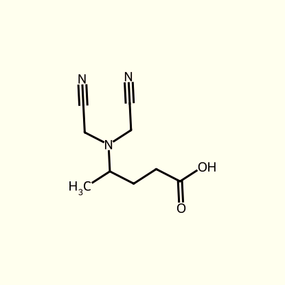 CC(CCC(=O)O)N(CC#N)CC#N